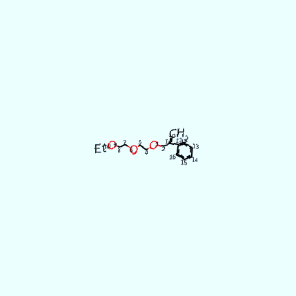 C=C(COCCOCCOCC)c1ccccc1